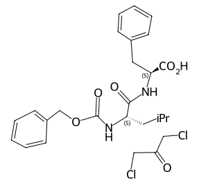 CC(C)C[C@H](NC(=O)OCc1ccccc1)C(=O)N[C@@H](Cc1ccccc1)C(=O)O.O=C(CCl)CCl